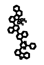 CC1(C)c2ccc3ccccc3c2-c2cccc(-c3ccc(-c4ccc(-c5cc(-c6cccc7oc8ccccc8c67)nc(-c6ccccc6)n5)c5ccccc45)c4ccccc34)c21